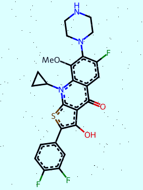 COc1c(N2CCNCC2)c(F)cc2c(=O)c3c(O)c(-c4ccc(F)c(F)c4)sc3n(C3CC3)c12